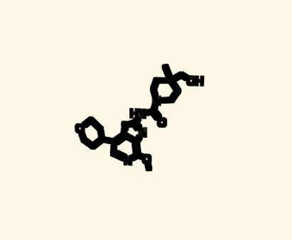 COc1ncc(C2CCOCC2)c2sc(NC(=O)N3CCC(C)(CO)CC3)nc12